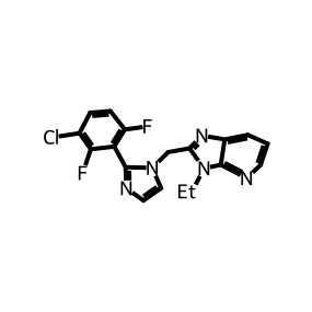 CCn1c(Cn2ccnc2-c2c(F)ccc(Cl)c2F)nc2cccnc21